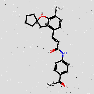 COC(=O)c1ccc(NC(=O)/C=C/c2ccc(OC)c3c2CC2(CCCC2)O3)cc1